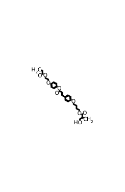 C=CC(=O)OCCOc1ccc(OC(=O)/C=C/c2ccc(OCCCCOC(=O)C(=C)CO)cc2)cc1